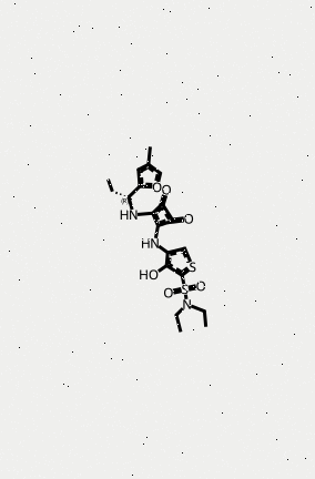 CC[C@@H](Nc1c(Nc2csc(S(=O)(=O)N(CC)CC)c2O)c(=O)c1=O)c1cc(C)co1